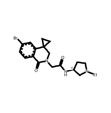 CCN1CC[C@H](NC(=O)CN2CC3(CC3)c3cc(Br)ccc3C2=O)C1